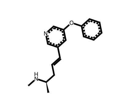 CN[C@H](C)CC=Cc1cncc(Oc2ccccc2)c1